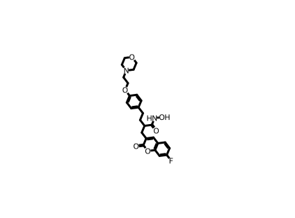 O=C(NO)C(CCc1ccc(OCCN2CCOCC2)cc1)Cc1cc2ccc(F)cc2oc1=O